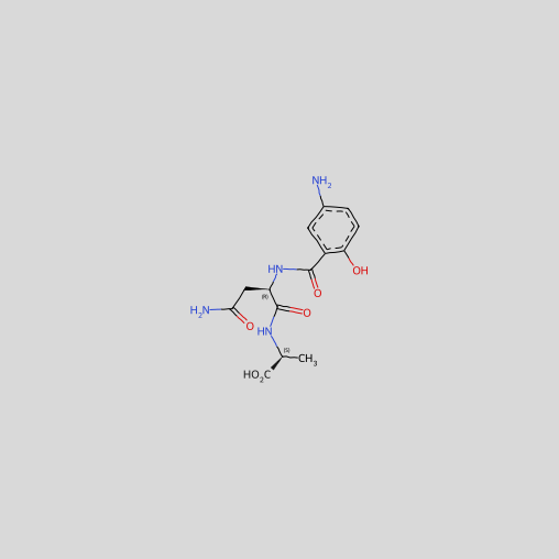 C[C@H](NC(=O)[C@@H](CC(N)=O)NC(=O)c1cc(N)ccc1O)C(=O)O